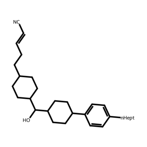 CCCCCCCc1ccc(C2CCC(C(O)C3CCC(CCC=CC#N)CC3)CC2)cc1